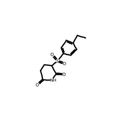 CCc1ccc(S(=O)(=O)C2CCC(=O)NC2=O)cc1